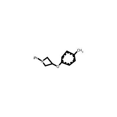 Cc1ccc(OC2CN(C(C)C)C2)cc1